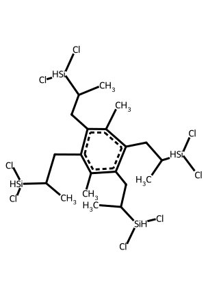 Cc1c(CC(C)[SiH](Cl)Cl)c(CC(C)[SiH](Cl)Cl)c(C)c(CC(C)[SiH](Cl)Cl)c1CC(C)[SiH](Cl)Cl